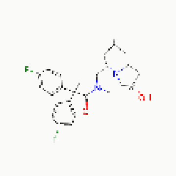 CC(C)CC(CN(C)C(=O)C(C)(c1ccc(F)cc1)c1ccc(F)cc1)N1CC[C@H](O)C1